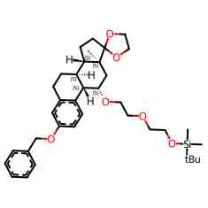 CC(C)(C)[Si](C)(C)OCCOCCO[C@H]1C[C@@]2(C)[C@@H](CCC23OCCO3)[C@@H]2CCc3cc(OCc4ccccc4)ccc3[C@H]21